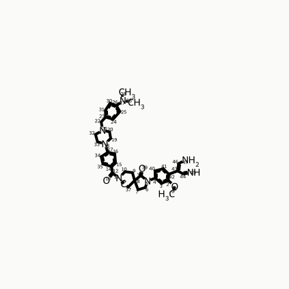 COc1cc(N2CCC3(CCN(C(=O)c4ccc(N5CCN(Cc6ccc(N(C)C)cc6)CC5)cc4)CC3)C2=O)ccc1/C(C=N)=C/N